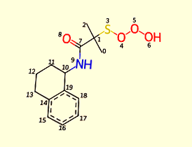 CC(C)(SOOO)C(=O)NC1CCCc2ccccc21